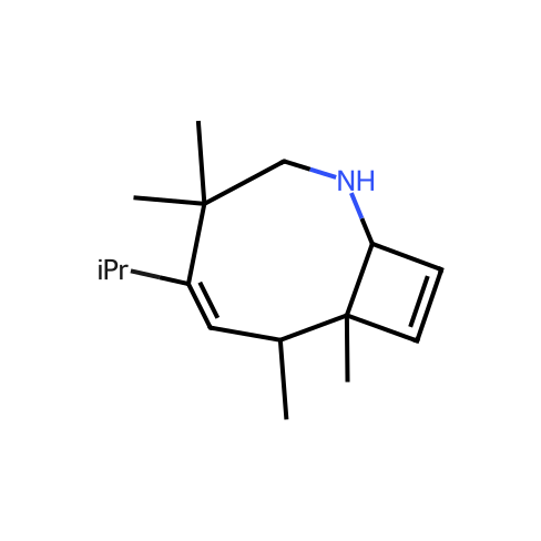 CC(C)/C1=C/C(C)C2(C)C=CC2NCC1(C)C